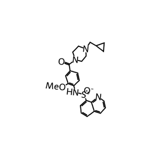 COc1cc(C(=O)N2CCN(CC3CC3)CC2)ccc1N[S+]([O-])c1cccc2cccnc12